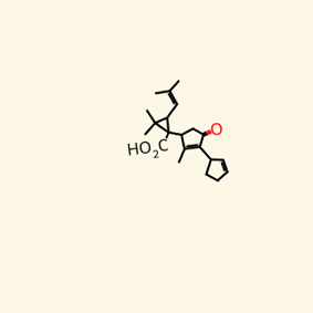 CC(C)=CC1C(C)(C)C1(C(=O)O)C1CC(=O)C(C2C=CCC2)=C1C